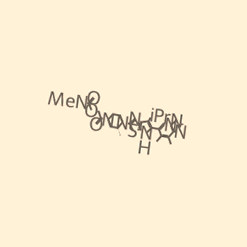 CNC(=O)OCC(=O)N1CCN(c2nc3c(C(C)C)c(-c4cn5ncnc5c(C)c4C)[nH]c3s2)[C@H](C)C1